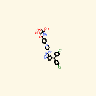 O=C(NC(CO)(CO)CO)c1ccc(N2CCC(Nc3ncnc4ccc(C(c5ccc(Cl)cc5)c5ccc(Cl)cc5)cc34)CC2)cc1